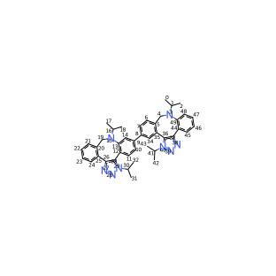 CC(C)N1Cc2ccc(-c3ccc4c(c3)N(C(C)C)Cc3ccccc3-c3nnn(C(C)C)c3-4)cc2-c2c(nnn2C(C)C)-c2ccccc21